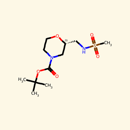 CC(C)(C)OC(=O)N1CCO[C@H](CNS(C)(=O)=O)C1